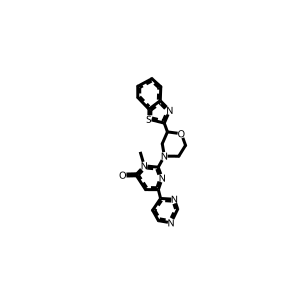 Cn1c(N2CCOC(c3nc4ccccc4s3)C2)nc(-c2ccncn2)cc1=O